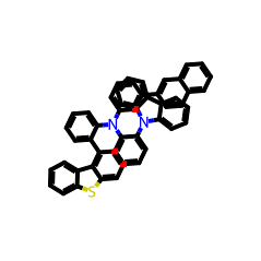 c1cc(-c2ccc3ccccc3c2)cc(N(c2ccccc2-c2cccc3sc4ccccc4c23)c2ccccc2-n2c3ccccc3c3ccccc32)c1